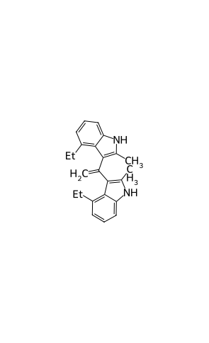 C=C(c1c(C)[nH]c2cccc(CC)c12)c1c(C)[nH]c2cccc(CC)c12